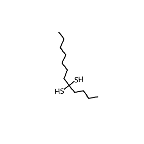 CCCCCCCC(S)(S)CCCC